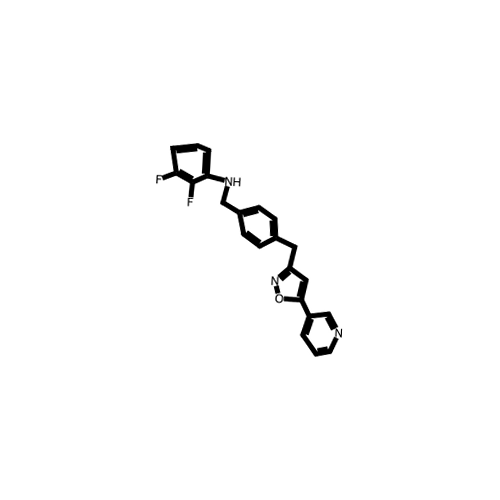 Fc1cccc(NCc2ccc(Cc3cc(-c4cccnc4)on3)cc2)c1F